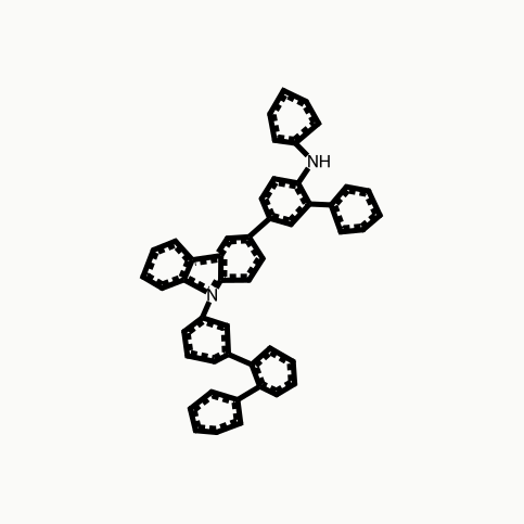 c1ccc(Nc2ccc(-c3ccc4c(c3)c3ccccc3n4-c3cccc(-c4ccccc4-c4ccccc4)c3)cc2-c2ccccc2)cc1